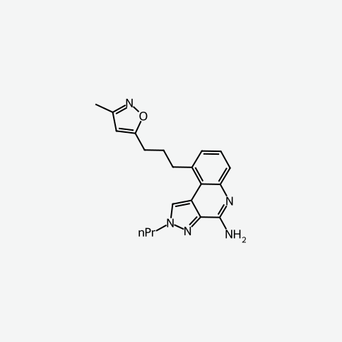 CCCn1cc2c(n1)c(N)nc1cccc(CCCc3cc(C)no3)c12